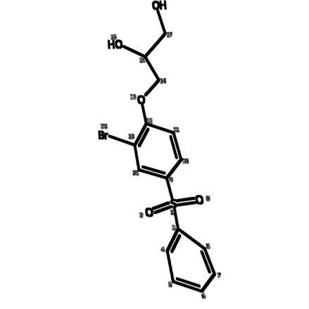 O=S(=O)(c1ccccc1)c1ccc(OCC(O)CO)c(Br)c1